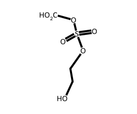 O=C(O)OS(=O)(=O)OCCO